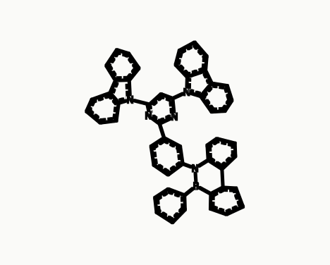 c1ccc(B2c3ccccc3-c3ccccc3N2c2cccc(-c3nc(-n4c5ccccc5c5ccccc54)cc(-n4c5ccccc5c5ccccc54)n3)c2)cc1